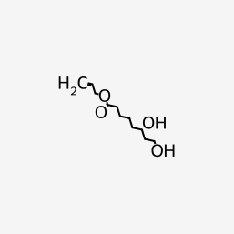 C=CCOC(=O)CCCCC(O)CCO